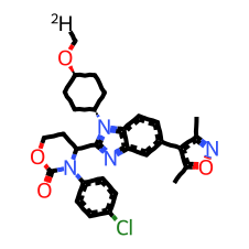 [2H]CO[C@H]1CC[C@H](n2c(C3CCOC(=O)N3c3ccc(Cl)cc3)nc3cc(-c4c(C)noc4C)ccc32)CC1